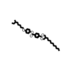 CCCCCCCCCCC1COC(c2ccc(C(=O)Oc3ccc(OCCCCCC(C)CC)cc3)cc2)OC1